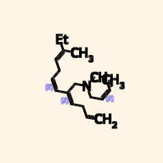 C=CC/C=C(/C=C\CC=C(C)CC)CN(C)C/C=C\C